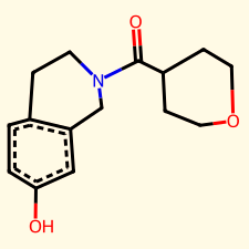 O=C(C1CCOCC1)N1CCc2ccc(O)cc2C1